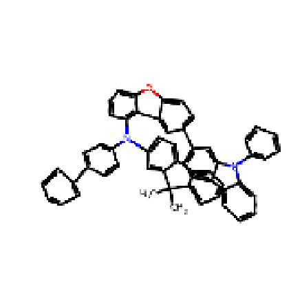 CC1(C)c2ccccc2-c2ccc(N(c3ccc(-c4ccccc4)cc3)c3cccc4oc5ccc(-c6ccc7c8ccccc8n(-c8ccccc8)c7c6)cc5c34)cc21